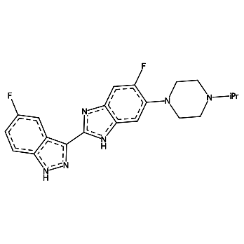 CC(C)N1CCN(c2cc3[nH]c(-c4n[nH]c5ccc(F)cc45)nc3cc2F)CC1